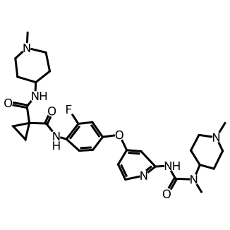 CN1CCC(NC(=O)C2(C(=O)Nc3ccc(Oc4ccnc(NC(=O)N(C)C5CCN(C)CC5)c4)cc3F)CC2)CC1